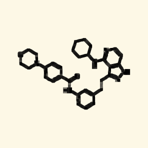 O=C(Nc1cccc(CCc2n[nH]c3ccnc(NC4CCCCC4)c23)c1)c1ccc(N2CCOCC2)cc1